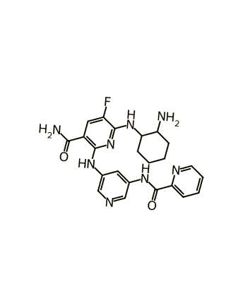 NC(=O)c1cc(F)c(NC2CCCCC2N)nc1Nc1cncc(NC(=O)c2ccccn2)c1